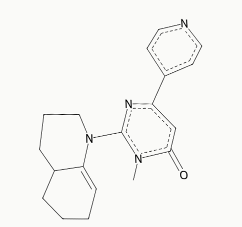 Cn1c(N2CCCC3CCCC=C32)nc(-c2ccncc2)cc1=O